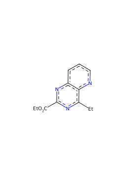 CCOC(=O)c1nc(CC)c2ncccc2n1